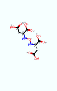 O=C(O)C[C@H](NON[C@@H](CC(=O)O)C(=O)O)C(=O)O